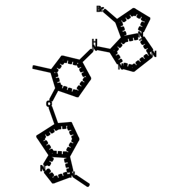 Cc1cc(Nc2ncnn3ccc(Br)c23)ccc1Oc1ccc2c(c1)ncn2C